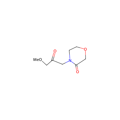 COCC(=O)CN1CCOCC1=O